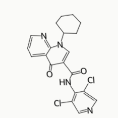 O=C(Nc1c(Cl)cncc1Cl)c1cn(C2CCCCC2)c2ncccc2c1=O